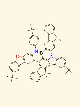 CC(C)(C)c1ccc(N2B3c4cc5c(cc4-n4c6ccc(C(C)(C)C)cc6c6c7c(c(c3c64)-c3cc4c(cc32)oc2ccc(C(C)(C)C)cc24)-c2ccccc2C7(C)C)C(C)(C)c2ccccc2-5)cc1